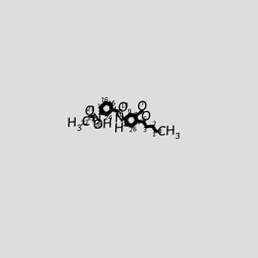 CCCCC1OC(=O)c2cc(NC(=O)c3cccc(N(O)C(C)=O)c3)ccc21